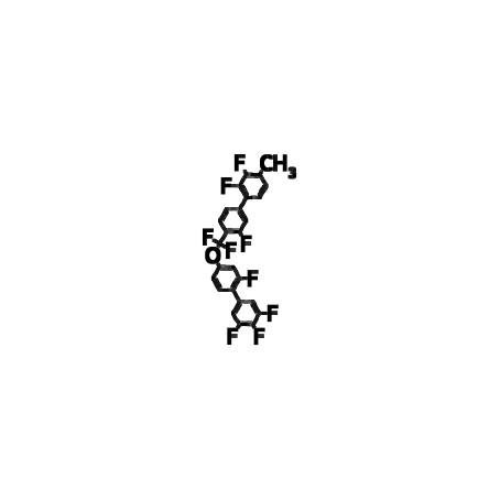 Cc1ccc(-c2ccc(C(F)(F)Oc3ccc(-c4cc(F)c(F)c(F)c4)c(F)c3)c(F)c2)c(F)c1F